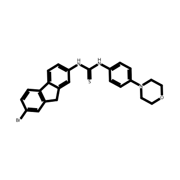 S=C(Nc1ccc(N2CCOCC2)cc1)Nc1ccc2c(c1)Cc1cc(Br)ccc1-2